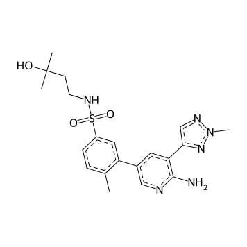 Cc1ccc(S(=O)(=O)NCCC(C)(C)O)cc1-c1cnc(N)c(-c2cnn(C)n2)c1